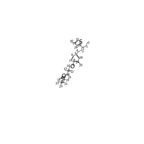 CCC(CCc1ccc(OCC(C)(C)C(C)O[Si](C)(C)C(C)(C)C)c(C)c1)c1cc(C)cs1